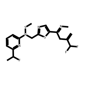 C=C(C/C(=N\C)c1cnc(CN(SC)c2cccc(C(C)F)n2)s1)C(F)F